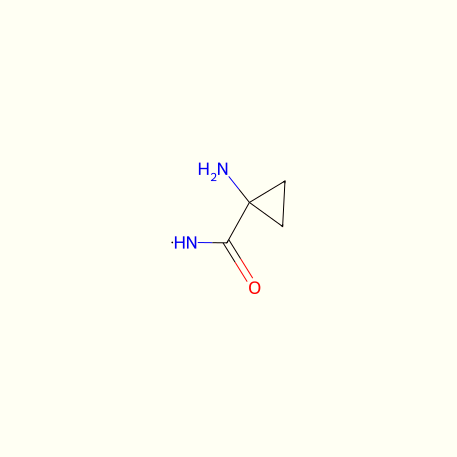 [NH]C(=O)C1(N)CC1